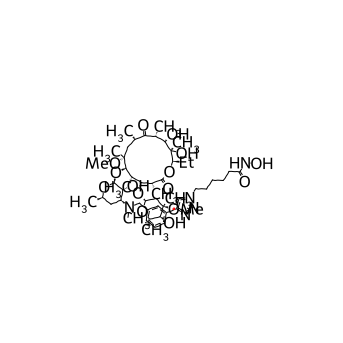 CC[C@H]1OC(=O)[C@H](C)[C@@H](O[C@H]2C[C@@](C)(OC)[C@@H](O)[C@H](C)O2)[C@H](C)[C@@H](O[C@@H]2O[C@H](C)C[C@H](N(C)Cc3cccc(-c4cn(CCCCCC(=O)NO)nn4)c3)[C@H]2O)[C@](C)(OC)C[C@@H](C)C(=O)[C@H](C)[C@@H](O)[C@]1(C)O